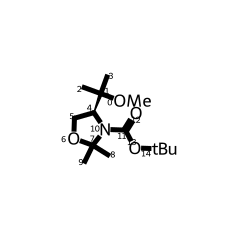 COC(C)(C)[C@@H]1COC(C)(C)N1C(=O)OC(C)(C)C